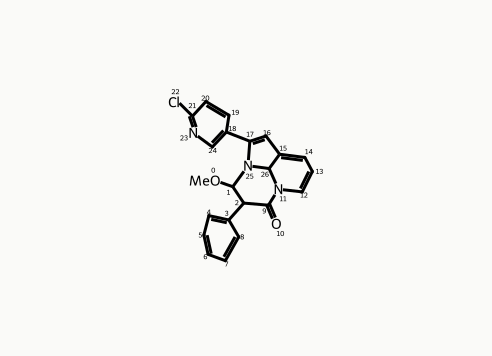 COC1C(c2ccccc2)C(=O)N2C=CC=C3C=C(c4ccc(Cl)nc4)N1C32